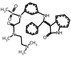 CN(C)CCN(C)C(=O)CN(c1cccc(NC(=C2C(=O)Nc3ccccc32)c2ccccc2)c1)S(C)(=O)=O